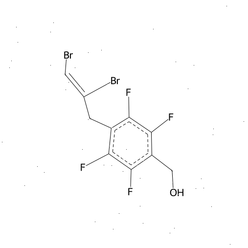 OCc1c(F)c(F)c(CC(Br)=CBr)c(F)c1F